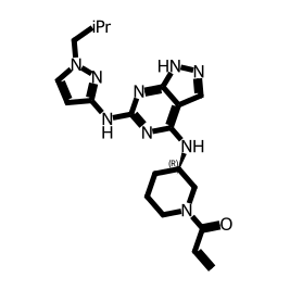 C=CC(=O)N1CCC[C@@H](Nc2nc(Nc3ccn(CC(C)C)n3)nc3[nH]ncc23)C1